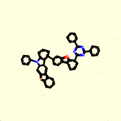 C1=c2sc3ccccc3c2=CC2c3c(-c4ccc5c(c4)oc4c(-c6nc(-c7ccccc7)nc(-c7ccccc7)n6)cccc45)cccc3N(c3ccccc3)C12